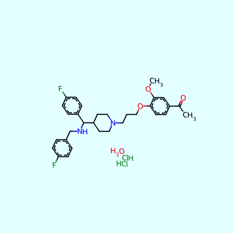 COc1cc(C(C)=O)ccc1OCCCN1CCC(C(NCc2ccc(F)cc2)c2ccc(F)cc2)CC1.Cl.Cl.O